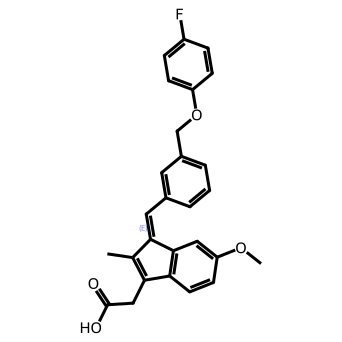 COc1ccc2c(c1)/C(=C\c1cccc(COc3ccc(F)cc3)c1)C(C)=C2CC(=O)O